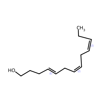 CC/C=C\C/C=C\C/C=C/CCCO